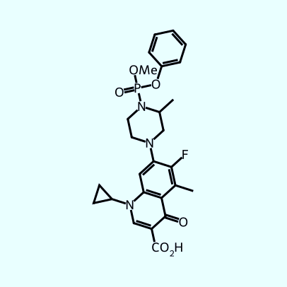 COP(=O)(Oc1ccccc1)N1CCN(c2cc3c(c(C)c2F)c(=O)c(C(=O)O)cn3C2CC2)CC1C